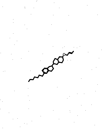 CC=CCOC1CCC2CC(C3CCc4cc(CCCCCCC)ccc4C3)CCC2C1